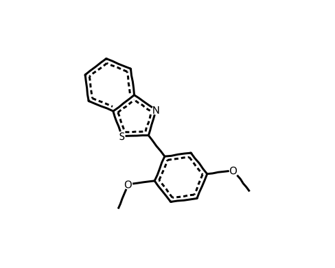 COc1ccc(OC)c(-c2nc3ccccc3s2)c1